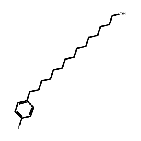 OCCCCCCCCCCCCCCCc1ccc(I)cc1